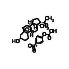 CC(=O)[C@H]1CC[C@H]2[C@@H]3CC=C4C[C@@H](O)CC[C@]4(C)[C@H]3CC[C@]12C.O=C(O)Oc1ccc([N+](=O)[O-])cc1